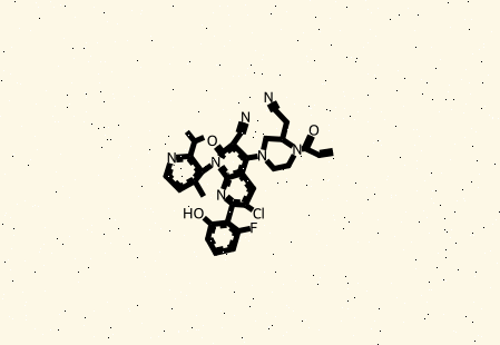 C=CC(=O)N1CCN(c2c(C#N)c(=O)n(-c3c(C)ccnc3C(C)C)c3nc(-c4c(O)cccc4F)c(Cl)cc23)CC1CC#N